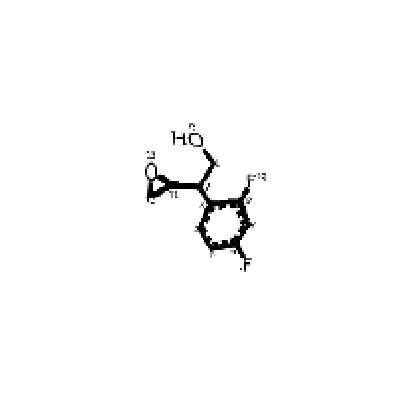 OCC(c1ccc(F)cc1F)C1CO1